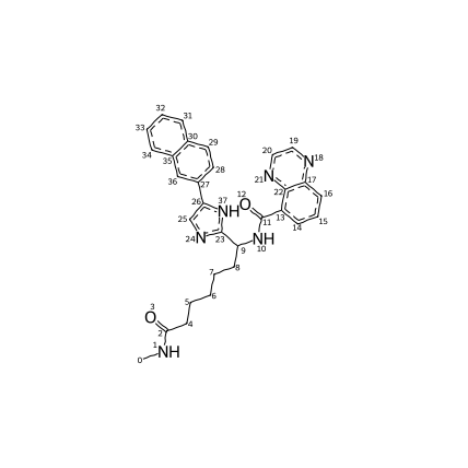 CNC(=O)CCCCCC(NC(=O)c1cccc2nccnc12)c1ncc(-c2ccc3ccccc3c2)[nH]1